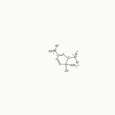 CC1(Cl)C=CC([N+](=O)[O-])=CC1[N+](=O)[O-]